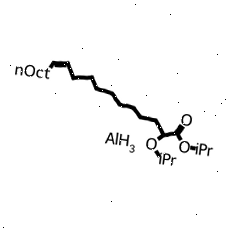 CCCCCCCC/C=C\CCCCCCCCC(OC(C)C)C(=O)OC(C)C.[AlH3]